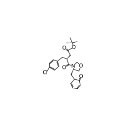 CC(C)(C)OC(=O)C[C@H](Cc1ccc(Cl)cc1)C(=O)N1COC[C@H]1CC1C=CC=CC1=O